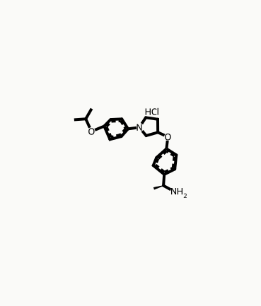 CC(C)Oc1ccc(N2CCC(Oc3ccc([C@H](C)N)cc3)C2)cc1.Cl